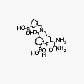 NC(=O)[C@@H](N)CCCCN(Cc1cccc(B(O)O)c1)C(=O)c1ccc(B(O)O)c(F)c1